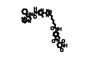 Cc1cc(NC(=O)Nc2cnc3ccnn3c2C2CCCCC2)cnc1-c1noc(CCCCCC(=O)Nc2ccc3c(c2)CN(C2CCC(=O)NC2=O)C3=O)n1